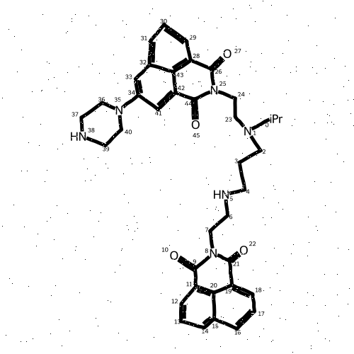 CC(C)N(CCCNCCN1C(=O)c2cccc3cccc(c23)C1=O)CCN1C(=O)c2cccc3cc(N4CCNCC4)cc(c23)C1=O